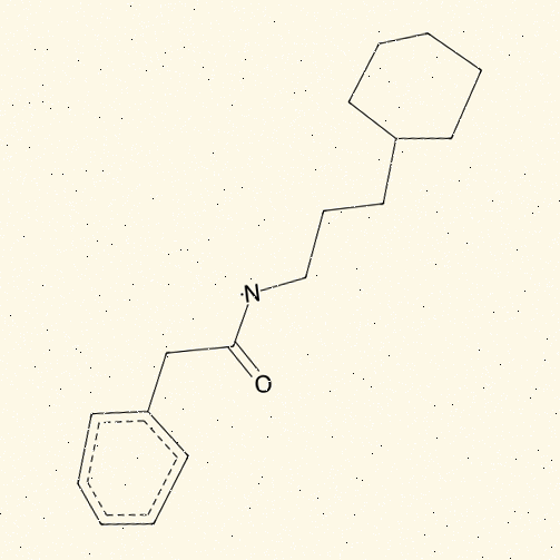 O=C(Cc1ccccc1)[N]CCCC1CCCCC1